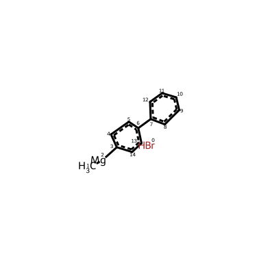 Br.[CH3][Mg][c]1ccc(-c2ccccc2)cc1